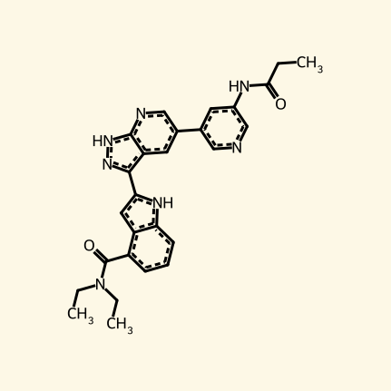 CCC(=O)Nc1cncc(-c2cnc3[nH]nc(-c4cc5c(C(=O)N(CC)CC)cccc5[nH]4)c3c2)c1